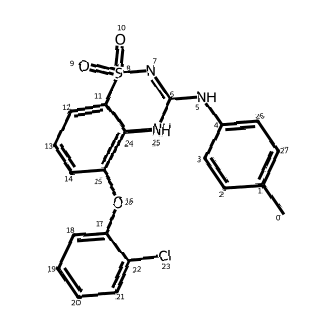 Cc1ccc(NC2=NS(=O)(=O)c3cccc(Oc4ccccc4Cl)c3N2)cc1